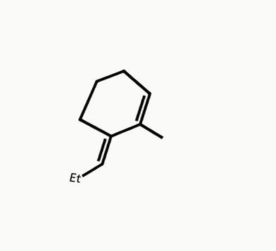 CC/C=C1\CCCC=C1C